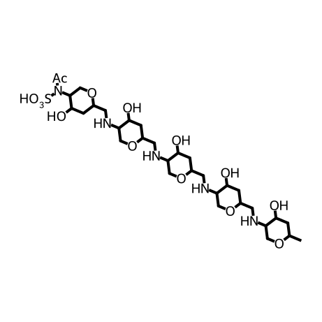 CC(=O)N(C1COC(CNC2COC(CNC3COC(CNC4COC(CNC5COC(C)CC5O)CC4O)CC3O)CC2O)CC1O)S(=O)(=O)O